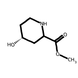 COC(=O)C1C[C@H](O)CCN1